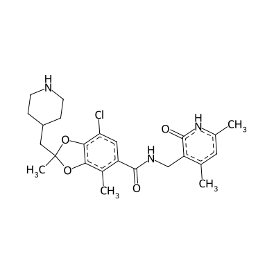 Cc1cc(C)c(CNC(=O)c2cc(Cl)c3c(c2C)OC(C)(CC2CCNCC2)O3)c(=O)[nH]1